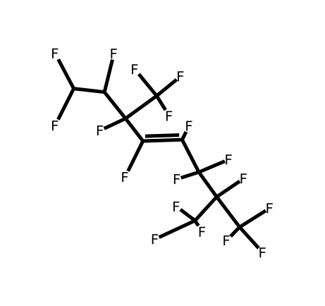 FC(=C(F)C(F)(C(F)C(F)F)C(F)(F)F)C(F)(F)C(F)(C(F)(F)F)C(F)(F)F